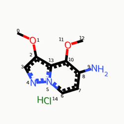 COc1cnn2ccc(N)c(OC)c12.Cl